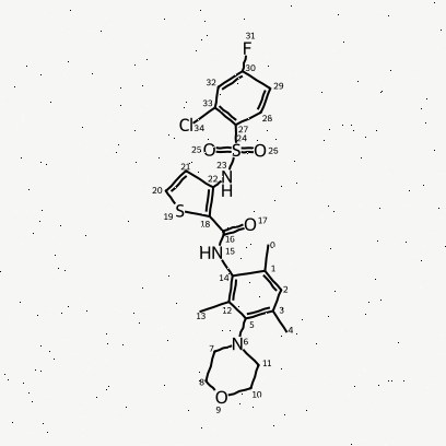 Cc1cc(C)c(N2CCOCC2)c(C)c1NC(=O)c1sccc1NS(=O)(=O)c1ccc(F)cc1Cl